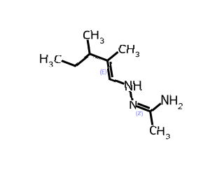 CCC(C)/C(C)=C/N/N=C(/C)N